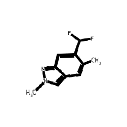 Cc1cc2cn(C)nc2cc1C(F)F